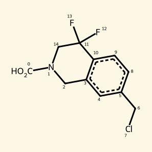 O=C(O)N1Cc2cc(CCl)ccc2C(F)(F)C1